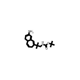 CC(C)(C)OC(=O)NCC(C)(C)C1=CC2=CC(N)=CCC2C=CC1